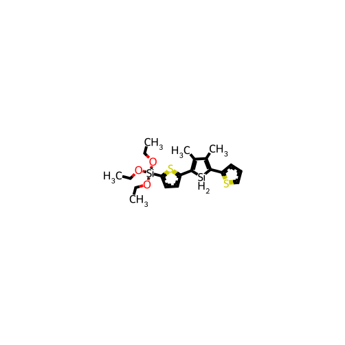 CCO[Si](OCC)(OCC)c1ccc(C2=C(C)C(C)=C(c3cccs3)[SiH2]2)s1